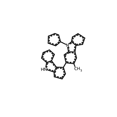 Cc1cc2c3ccccc3n(-c3ccccc3)c2cc1-c1cccc2[nH]c3ccccc3c12